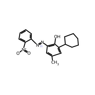 Cc1cc(/N=N/c2ccccc2[N+](=O)[O-])c(O)c(C2CCCCC2)c1